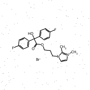 Cc1n(CCCOC(=O)C(O)(c2ccc(F)cc2)c2ccc(F)cc2)cc[n+]1C.[Br-]